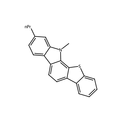 CCCc1ccc2c3ccc4c5ccccc5sc4c3n(C)c2c1